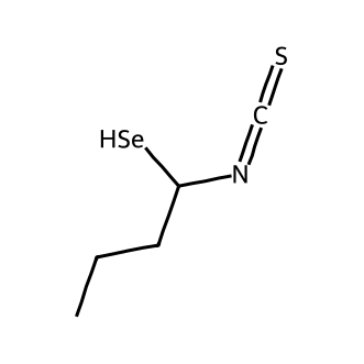 CCCC([SeH])N=C=S